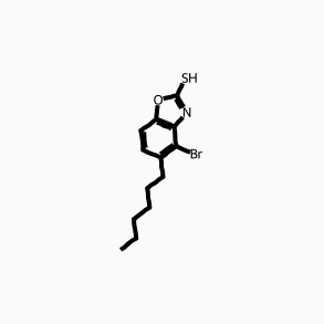 CCCCCCc1ccc2oc(S)nc2c1Br